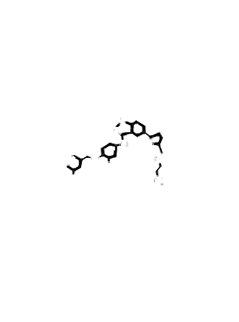 CS(=O)(=O)CCNCc1ccc(-c2ccc3ncnc(Nc4ccc(OCc5cccc(F)c5)c(Cl)c4)c3c2)o1.Cl